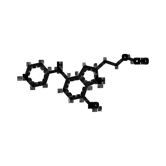 O=COCCc1cc2c(Nc3ccncc3)ccc([N+](=O)[O-])c2[nH]1